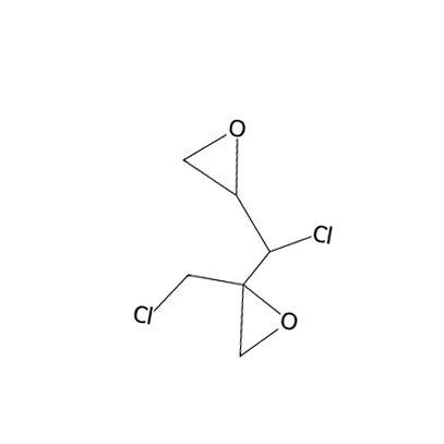 ClCC1(C(Cl)C2CO2)CO1